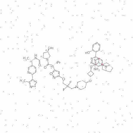 Cc1ncsc1-c1ccc([C@H](C)NC(=O)[C@@H]2C[C@@H](O)CN2C(=O)[C@@H](c2cc(OCC(F)(F)CN3CCC(O[C@H]4C[C@H](Oc5cc(N6C7CCC6CN(c6cc(-c8ccccc8O)nnc6N)C7)ccn5)C4)CC3)no2)C(C)C)cn1